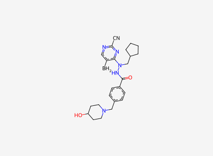 Bc1cnc(C#N)nc1N(CC1CCCC1)NC(=O)c1ccc(CN2CCC(O)CC2)cc1